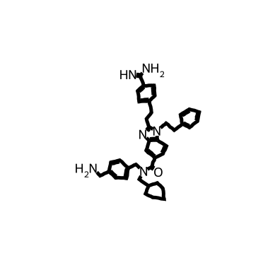 N=C(N)c1ccc(CCc2nc3cc(C(=O)N(Cc4ccc(CN)cc4)CC4CCCCC4)ccc3n2CCc2ccccc2)cc1